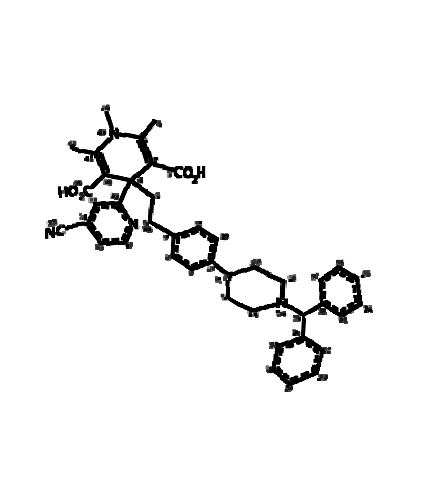 CC1=C(C(=O)O)C(CCc2ccc(N3CCN(C(c4ccccc4)c4ccccc4)CC3)cc2)(c2cc(C#N)ccn2)C(C(=O)O)=C(C)N1C